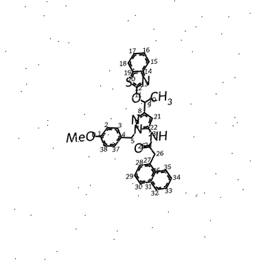 COc1ccc(Cn2nc(C(C)Oc3nc4ccccc4s3)cc2NC(=O)Cc2cccc3ccccc23)cc1